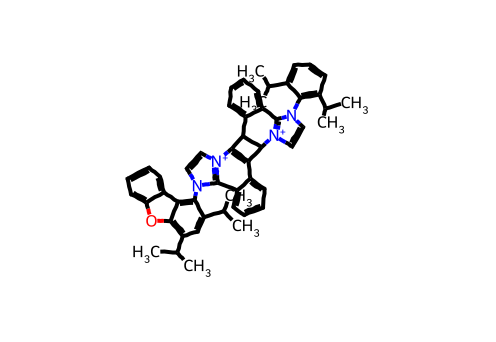 CC(C)c1cccc(C(C)C)c1-n1cc[n+]2c1-c1ccccc1C1c3c(c4ccccc4c4n(-c5c(C(C)C)cc(C(C)C)c6oc7ccccc7c56)cc[n+]34)C12